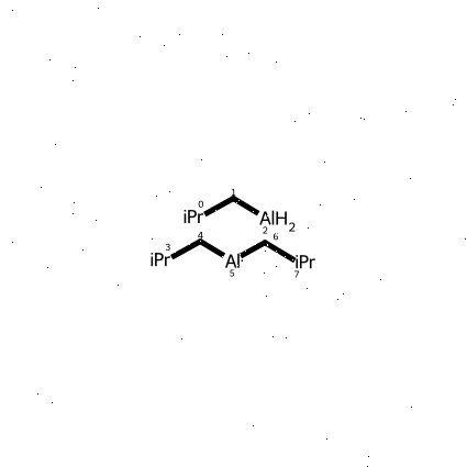 CC(C)[CH2][AlH2].CC(C)[CH2][Al][CH2]C(C)C